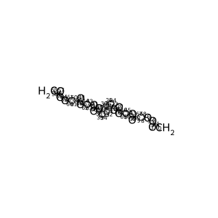 C=CC(=O)OCOC1CCC(C(=O)Oc2ccc(OC(=O)Oc3cccc4c3C3(CC4)CCc4cccc(OC(=O)Oc5ccc(OC(=O)C6CCC(OCOC(=O)C=C)CC6)cc5)c43)cc2)CC1